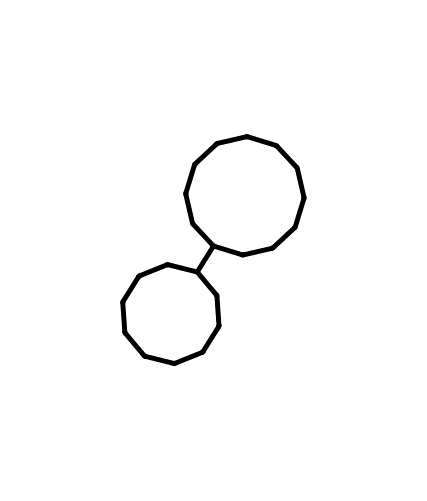 C1CCCCCC(C2CCCCCCCCC2)CCCCC1